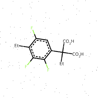 CCc1c(F)cc(C(CC)(C(=O)O)C(=O)O)c(F)c1F